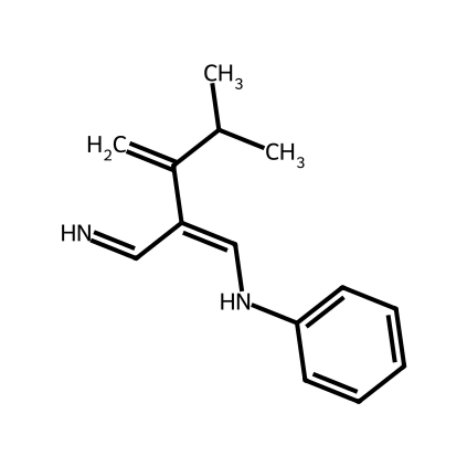 C=C(/C(C=N)=C/Nc1ccccc1)C(C)C